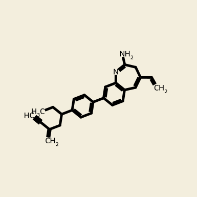 C#CC(=C)CC(CC)c1ccc(-c2ccc3c(c2)N=C(N)CC(C=C)=C3)cc1